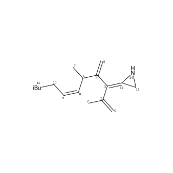 C=C(C)/C(C(=C)C(C)/C=C\CC(C)CC)=C1\CN1